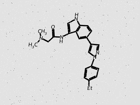 CCc1ccc(-n2cc(-c3ccc4[nH]cc(NC(=O)CN(C)C)c4c3)cn2)cc1